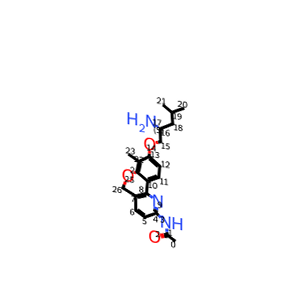 CC(=O)Nc1ccc2c(n1)-c1ccc(OC[C@@H](N)CC(C)C)c(C)c1OC2